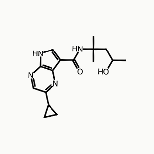 CC(O)CC(C)(C)NC(=O)c1c[nH]c2ncc(C3CC3)nc12